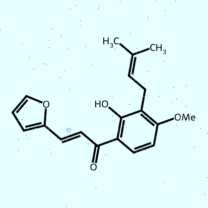 COc1ccc(C(=O)/C=C/c2ccco2)c(O)c1CC=C(C)C